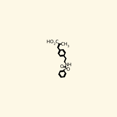 C/C(=C\c1ccc(CCNS(=O)(=O)c2ccccc2)cc1)C(=O)O